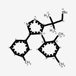 Cc1cccc(-c2nnc(C(C)(C)CC(C)(C)C)n2-c2ccc(C)cc2C)c1